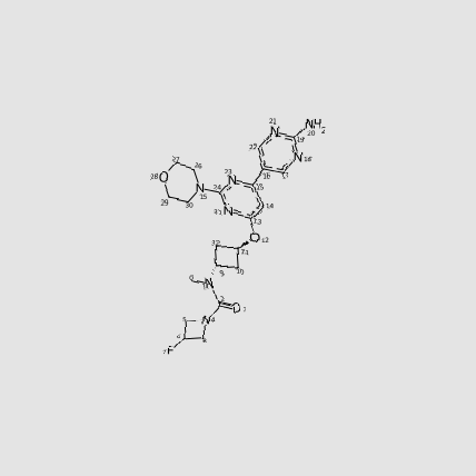 CN(C(=O)N1CC(F)C1)[C@H]1C[C@H](Oc2cc(-c3cnc(N)nc3)nc(N3CCOCC3)n2)C1